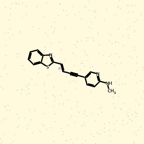 CNc1ccc(C#C/C=C/c2nc3ccccc3s2)cn1